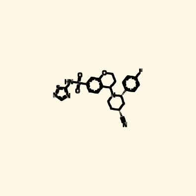 N#C[C@@H]1CCN(C2CCOc3cc(S(=O)(=O)Nc4ncns4)ccc32)[C@H](c2ccc(F)cc2)C1